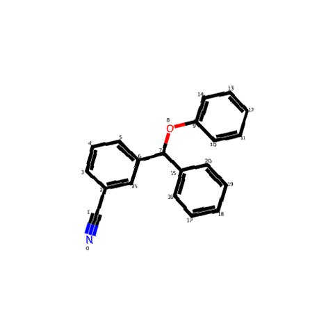 N#Cc1cccc(C(Oc2[c]cccc2)c2ccccc2)c1